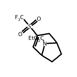 CCOC(=O)N1C2C=C(S(=O)(=O)C(F)(F)F)CC1CC2